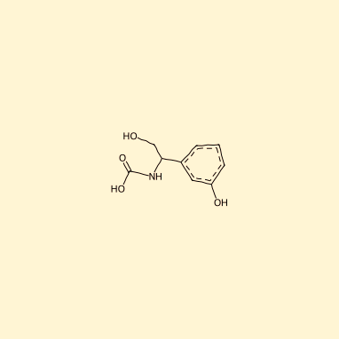 O=C(O)NC(CO)c1cccc(O)c1